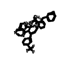 CC(NC1(c2ncc[nH]2)C(c2ccncn2)C(c2cccc(C(F)(F)F)c2)CCN1C(=O)OCc1ccccc1)c1ccccc1